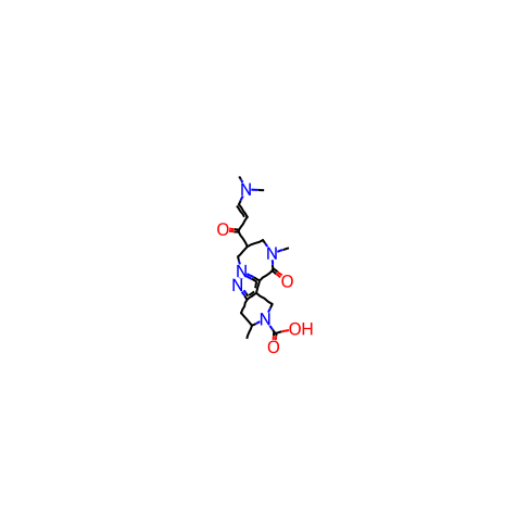 CC1Cc2nn3c(c2CN1C(=O)O)C(=O)N(C)CC(C(=O)/C=C/N(C)C)C3